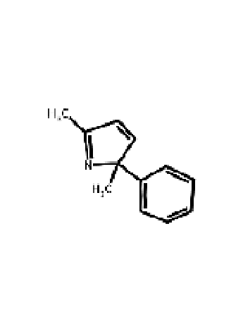 CC1=NC(C)(c2ccccc2)C=C1